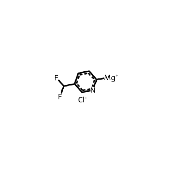 FC(F)c1cc[c]([Mg+])nc1.[Cl-]